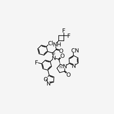 N#Cc1ccnc(N2C(=O)CC[C@H]2C(=O)N(c2cc(F)cc(-c3ccno3)c2)[C@H](C(=O)NC2CC(F)(F)C2)c2ccccc2Cl)c1